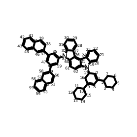 C1=C(C2CCCCC2)C=C(C2CCCCC2)CC1n1c2ccccc2c2c3c4ccccc4n(-c4cc(-c5ccc6ccccc6c5)cc(-c5ccc6ccccc6c5)c4)c3ccc21